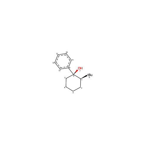 CC(C)(C)[C@H]1CCCC[C@]1(O)c1ccccc1